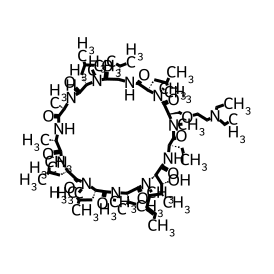 C/C=C/C[C@@H](C)[C@@H](O)[C@H]1C(=O)N[C@@H](CC)C(=O)N(C)[C@H](COCCN(CC)CC)C(=O)N(C)[C@@H](CC(C)C)C(=O)N[C@@H](C(C)C)C(=O)N(C)[C@@H](CC(C)C)C(=O)N[C@@H](C)C(=O)N[C@@H](C)C(=O)N(C)[C@@H](CC(C)C)C(=O)N(C)[C@@H](CC(C)C)C(=O)N(C)[C@@H](C(C)C)C(=O)N1C